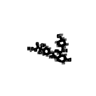 COC(=O)C(C)(C)c1ccc(CNc2ccc(Cl)cc2C(=O)Nc2ccc(Cl)cn2)cc1